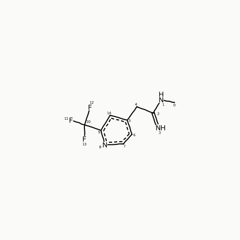 CNC(=N)Cc1ccnc(C(F)(F)F)c1